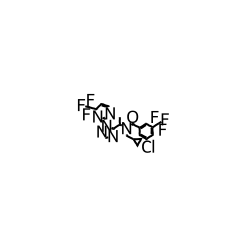 CC(c1ncnn1-c1nccc(C(F)(F)F)n1)N(CC1CC1)C(=O)c1cc(Cl)cc(C(F)(F)F)c1